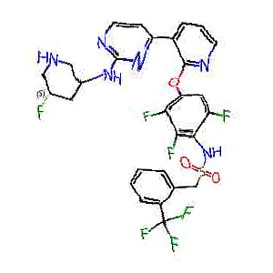 O=S(=O)(Cc1ccccc1C(F)(F)F)Nc1c(F)cc(Oc2ncccc2-c2ccnc(NC3CNC[C@@H](F)C3)n2)c(F)c1F